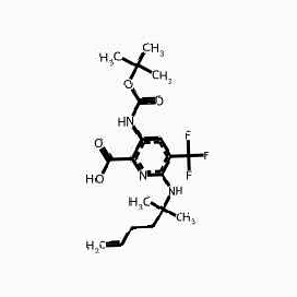 C=CCCC(C)(C)Nc1nc(C(=O)O)c(NC(=O)OC(C)(C)C)cc1C(F)(F)F